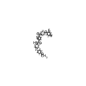 COc1ccc(CN2CCC(NC(=O)c3ccc(C(=O)N4CCC(Oc5ccc(F)cc5F)CC4)nc3)CC2)cc1